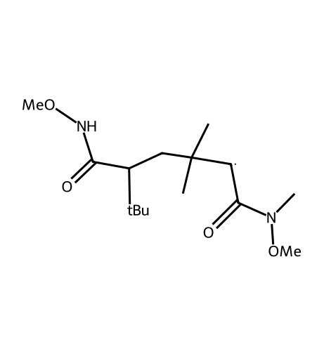 CONC(=O)C(CC(C)(C)[CH]C(=O)N(C)OC)C(C)(C)C